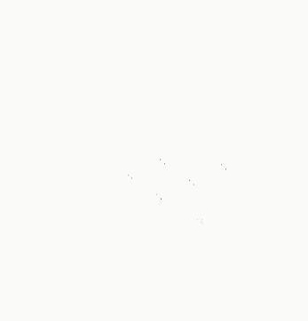 c1ccc(-c2cc(-c3ccccc3)c3c4ccccc4n(-c4nc(-c5ccccc5)nc(-c5ccccc5-n5c6ccccc6c6ccccc65)n4)c3c2)cc1